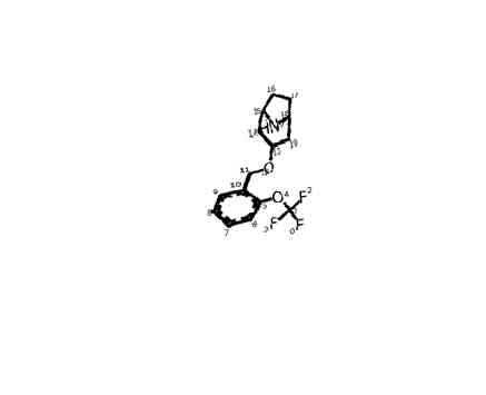 FC(F)(F)Oc1ccccc1COC1CC2CCC(C1)N2